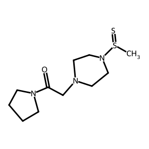 CS(=S)N1CCN(CC(=O)N2CCCC2)CC1